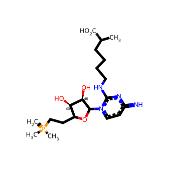 C=P(C)(C)CCC1OC(n2ccc(=N)nc2NCCCCC(C)C(=O)O)[C@H](O)[C@@H]1O